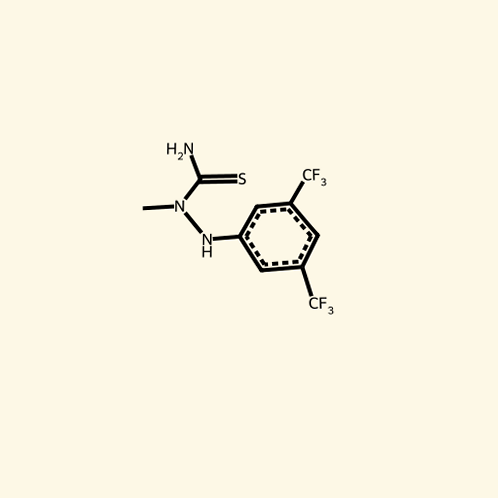 CN(Nc1cc(C(F)(F)F)cc(C(F)(F)F)c1)C(N)=S